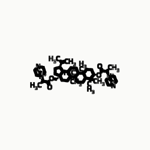 C=C(C)[C@@H]1CC[C@]2(COC(=O)C(C)[N+]34CCN(CC3)CC4)CC[C@]3(C)C(CCC4[C@@]5(C)CC[C@H](OC(=O)C(C)[N+]67CCN(CC6)CC7)C(C)(C)C5CC[C@]43C)C12